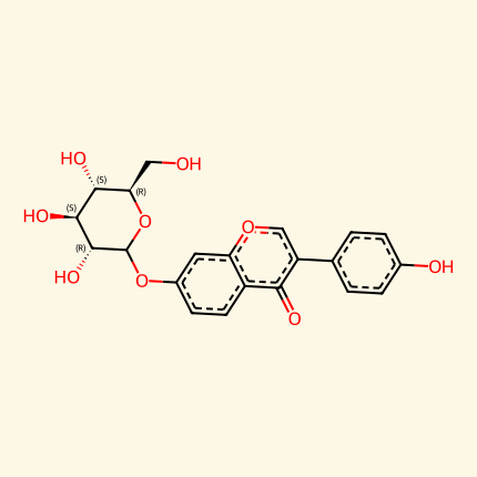 O=c1c(-c2ccc(O)cc2)coc2cc(OC3O[C@H](CO)[C@@H](O)[C@H](O)[C@H]3O)ccc12